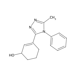 Cc1nnc(C2=CC(O)CCC2)n1-c1ccccc1